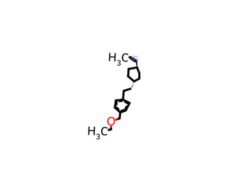 C/C=C\[C@H]1CC[C@H](CCc2ccc(COCC)cc2)CC1